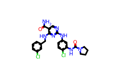 NC(=O)c1cnc(Nc2ccc(Cl)c(NC(=O)N3CCCC3)c2)nc1NCc1cccc(Cl)c1